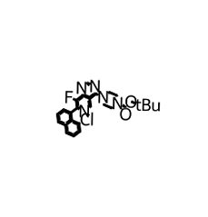 CC(C)(C)OC(=O)N1CCN(c2ncnc3c(F)c(-c4cccc5cccc(Cl)c45)ncc23)CC1